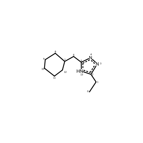 CCc1nnc(CC2CCCCC2)[nH]1